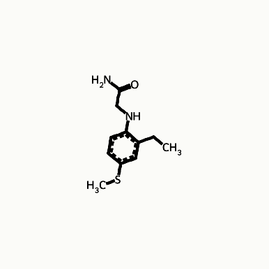 CCc1cc(SC)ccc1NCC(N)=O